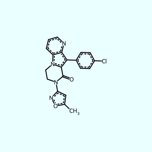 Cc1cc(N2CCn3c(c(-c4ccc(Cl)cc4)c4ncccc43)C2=O)no1